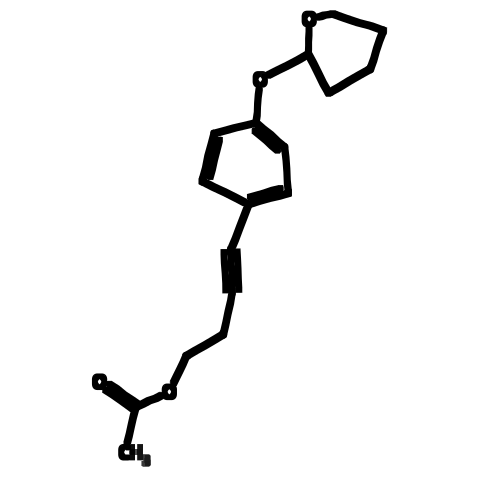 CC(=O)OCCC#Cc1ccc(OC2CCCCO2)cc1